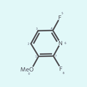 COc1ccc(F)nc1F